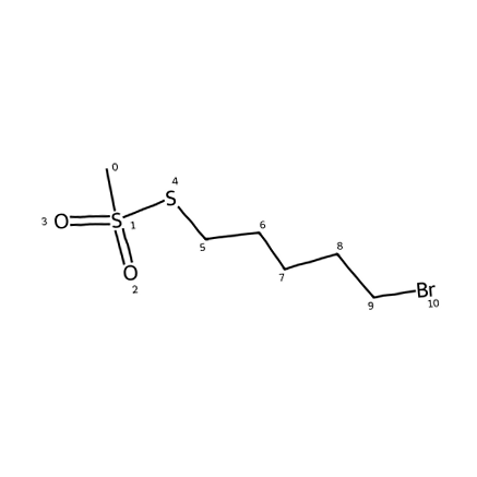 CS(=O)(=O)SCCCCCBr